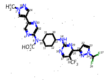 Cn1cc(-c2cnc(N(C(=O)O)[C@H]3CC[C@H](Nc4ncc(C(F)(F)F)c(-c5ccn(C(F)F)n5)n4)CC3)cn2)cn1